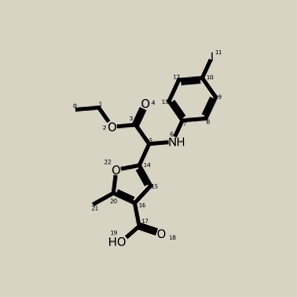 CCOC(=O)C(Nc1ccc(I)cc1)c1cc(C(=O)O)c(C)o1